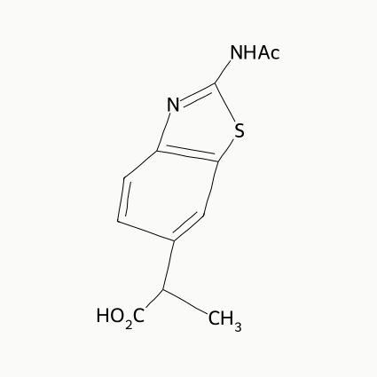 CC(=O)Nc1nc2ccc(C(C)C(=O)O)cc2s1